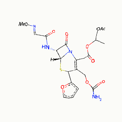 CON=CC(=O)N[C@@H]1C(=O)N2C(C(=O)OC(C)OC(C)=O)=C(COC(N)=O)C(c3ccco3)S[C@H]12